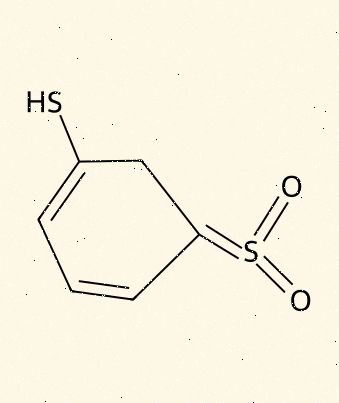 O=S(=O)=C1C=CC=C(S)C1